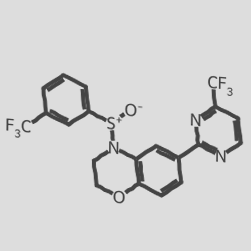 [O-][S+](c1cccc(C(F)(F)F)c1)N1CCOc2ccc(-c3nccc(C(F)(F)F)n3)cc21